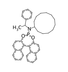 CC(c1ccccc1)N(C1CCCCCCCCCCC1)p1oc2ccc3ccccc3c2c2c(ccc3ccccc32)o1